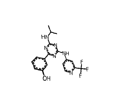 CC(C)Nc1nc(Nc2ccnc(C(F)(F)F)c2)nc(-c2cccc(O)c2)n1